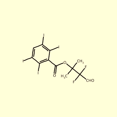 CC(C)(OC(=O)c1c(I)c(I)cc(I)c1I)C(F)(F)C=O